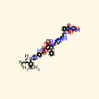 C=C(CCC(F)F)C1=C(CN2CCN(c3ccc(C(=O)NS(=O)(=O)c4ccc(N[C@H](CCN5CCN(NCCCNc6cccc7c6C(=O)N(C6CCC(=O)NC6=O)C7=O)CC5)CSc5ccccc5)c(S(=O)(=O)C(F)(F)F)c4)cc3)CC2)CCC(C)(C)C1